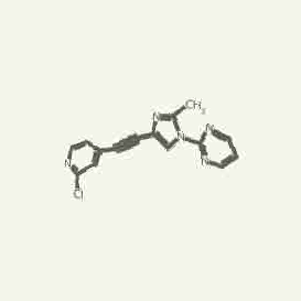 Cc1nc(C#Cc2ccnc(Cl)c2)cn1-c1ncccn1